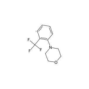 FC(F)(F)c1[c]cccc1N1CCOCC1